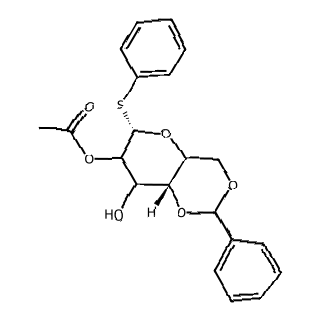 CC(=O)OC1C(O)[C@H]2OC(c3ccccc3)OCC2O[C@H]1Sc1ccccc1